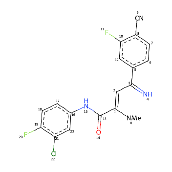 CN/C(=C\C(=N)c1ccc(C#N)c(F)c1)C(=O)Nc1ccc(F)c(Cl)c1